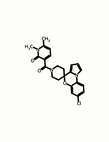 Cc1ccc(C(=O)N2CCC3(CC2)Oc2cc(Cl)ccc2-n2cccc23)c(=O)n1C